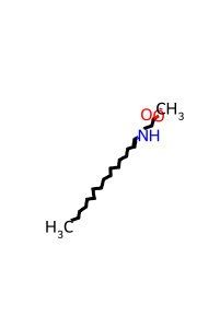 CCCCCCCCCCCCCCCCC=CNCCC(=O)OC